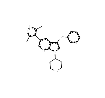 Cc1noc(C)c1-c1cnc2c(c1)c(Sc1ccccc1)cn2C1CCOCC1